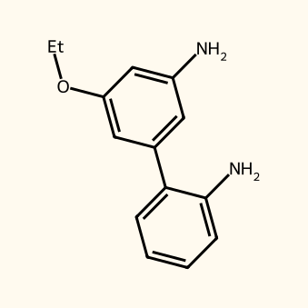 CCOc1cc(N)cc(-c2ccccc2N)c1